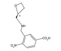 O=C(O)c1ccc([N+](=O)[O-])c(CNC[C@@H]2CCO2)c1